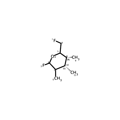 CC1C(F)OC(CF)[C@H](C)[C@@H]1C